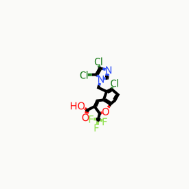 O=C(O)C1=Cc2c(ccc(Cl)c2Cn2cnc(Cl)c2Cl)OC1C(F)(F)F